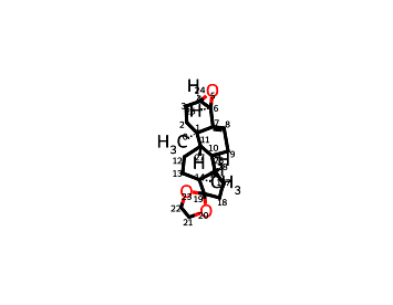 C[C@]12CC[C@H]3O[C@H]3C1=CC[C@@H]1[C@@H]2CC[C@@]2(C)[C@H]1CCC21OCCO1